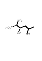 CC(O)C[C@@H](O)[C@H](N)C(=O)O